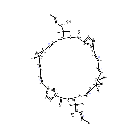 C/C=C/[C@H](O)C(C)(C)[C@@H]1C/C=C\[C@H]2N[C@H]2/C=C/C=C\c2nc(co2)C(=O)O[C@H](C(C)(C)[C@@H](O)/C=C/C)C/C=C\[C@H]2N[C@H]2/C=C/C=C\c2nc(c[nH]2)C(=O)O1